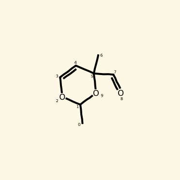 CC1OC=CC(C)(C=O)O1